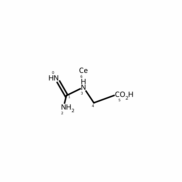 N=C(N)NCC(=O)O.[Ce]